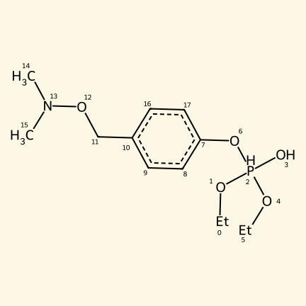 CCO[PH](O)(OCC)Oc1ccc(CON(C)C)cc1